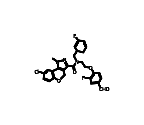 Cn1nc(C(=O)N(CCOc2ccc(C=O)cc2F)CC2C=C(F)C=CC2)c2c1-c1cc(Cl)ccc1OC2